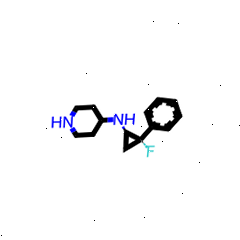 F[C@]1(c2ccccc2)C[C@@H]1NC1CCNCC1